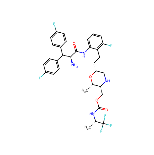 C[C@@H]1O[C@H](CCc2c(F)cccc2NC(=O)[C@@H](N)C(c2ccc(F)cc2)c2ccc(F)cc2)CN[C@@H]1COC(=O)N[C@@H](C)C(F)(F)F